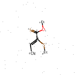 CCOC(=S)C(=CC#N)SCC